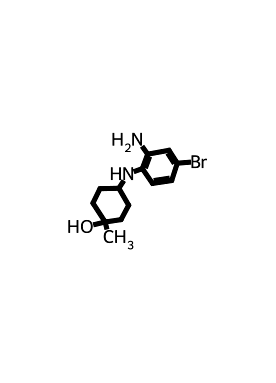 CC1(O)CCC(Nc2ccc(Br)cc2N)CC1